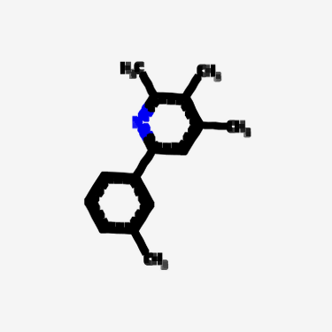 Cc1cccc(-c2cc(C)c(C)c(C)n2)c1